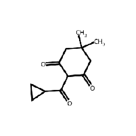 CC1(C)CC(=O)C(C(=O)C2CC2)C(=O)C1